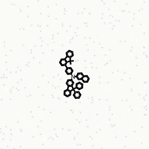 CC1(C)c2ccccc2-c2cccc(-c3ccc(N(c4ccc5c(c4)C(c4ccccc4)(c4ccccc4)c4ccccc4-5)c4ccc5ccccc5c4)cc3)c21